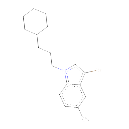 N#Cc1ccc2c(c1)c(Br)cn2CCCC1CCCCC1